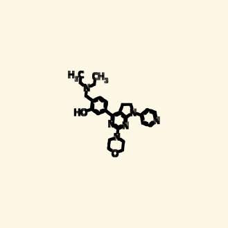 CCN(CC)Cc1ccc(-c2nc(N3CCOCC3)nc3c2CCN3c2ccncc2)cc1O